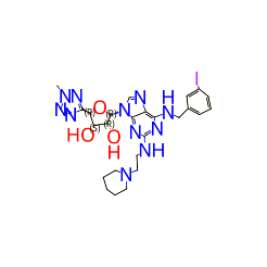 Cn1nnc([C@H]2O[C@@H](n3cnc4c(NCc5cccc(I)c5)nc(NCCN5CCCCC5)nc43)[C@H](O)[C@@H]2O)n1